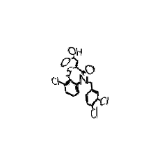 O=C(O)C=C1Sc2c(Cl)cccc2N(Cc2ccc(Cl)c(Cl)c2)C1=O